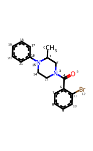 CC1CN(C(=O)c2ccccc2Br)CCN1c1ccccc1